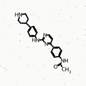 CC(=O)Nc1ccc(-c2ccnc(Nc3ccc(C4CCNCC4)cc3)n2)cc1